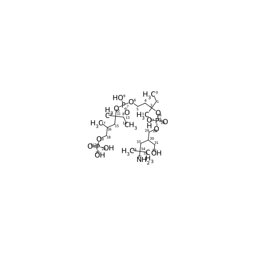 CCC(C)(CCOP(=O)(O)OC(C)(CC)CC(C)COP(=O)(O)O)OP(=O)(O)OCC(CO)CC(C)(C)N